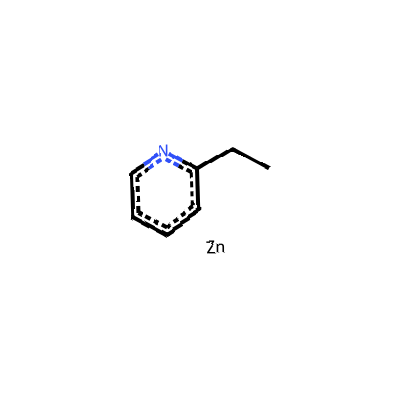 CCc1ccccn1.[Zn]